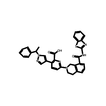 CC(c1ccccc1)n1cc(-c2ccc(N3CCc4cccc(C(=O)Nc5nc6ccccc6s5)c4C3)nc2C(=O)O)cn1